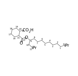 CC(C)CCCCCCCCC(CC(C)C)OC(=O)C1CCCCC1C(=O)O